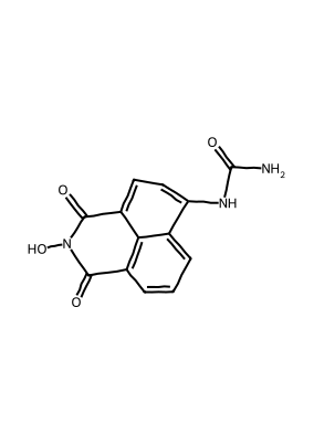 NC(=O)Nc1ccc2c3c(cccc13)C(=O)N(O)C2=O